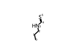 CCCNC=S